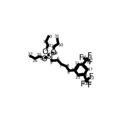 CCCO[Si](CCCCCc1cc(C(F)(F)F)cc(C(F)(F)F)c1)(OCCC)OCCC